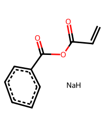 C=CC(=O)OC(=O)c1ccccc1.[NaH]